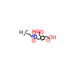 CCCCN1C(=O)CC(Cc2ccc(CC(=O)O)cc2CC(=O)O)C1=O